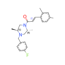 Cc1ccc(/C=C/C(=O)N2C[C@H](C)N(Cc3ccc(F)cc3)C[C@H]2C)c(C)c1